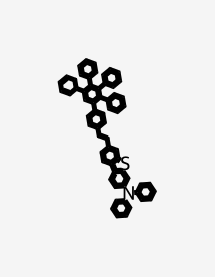 C1=CCC(c2cc(-c3ccc(/C=C/c4ccc5c(c4)sc4cc(N(c6ccccc6)c6ccccc6)ccc45)cc3)c(-c3ccccc3)c(-c3ccccc3)c2-c2ccccc2)C=C1